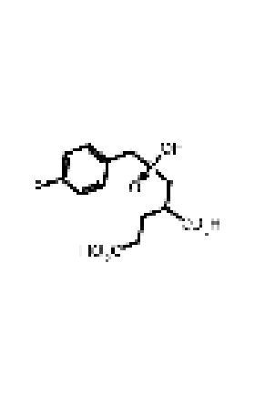 O=C(O)CCC(CP(=O)(O)Cc1ccc(F)cc1)C(=O)O